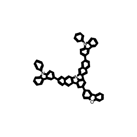 c1ccc(-n2c3ccccc3c3cc(-c4ccc5cc6c7cc(-c8ccc9oc%10ccccc%10c9c8)cc8c9cc%10ccc(-c%11ccc%12c(c%11)c%11ccccc%11n%12-c%11ccccc%11)cc%10cc9n(c6cc5c4)c78)ccc32)cc1